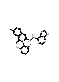 C[C@@H](Nc1ncnc2[nH]cnc12)c1cc2ccc(F)cc2c(=O)n1-c1c(F)cccc1F